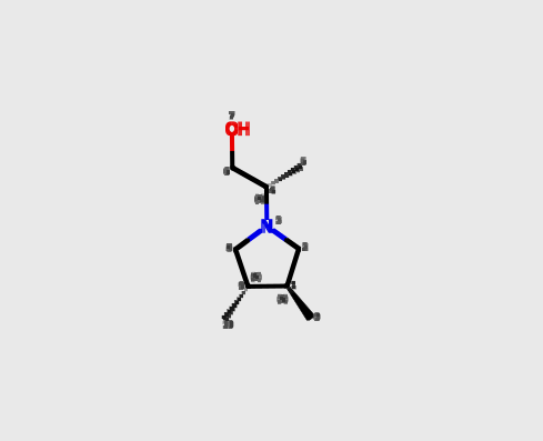 C[C@@H]1CN([C@@H](C)CO)C[C@H]1C